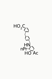 CCCc1c(NCc2ccc(Cc3cccc(C(=O)O)c3)cc2)ccc(C(C)=O)c1O